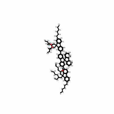 CCCCCCc1ccc2c(c1)C(CC(CC)CCCC)(CC(CC)CCCC)c1cc(-c3ccc4c(c3)C3(c5cc(-c6ccc7c(c6)C(CC(CC)CCCC)(CC(CC)CCCC)c6cc(CCCCCC)ccc6-7)ccc5-4)c4cccnc4-c4ncccc43)ccc1-2